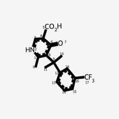 Cc1[nH]cc(C(=O)O)c(=O)c1C(C)(C)c1cccc(C(F)(F)F)c1